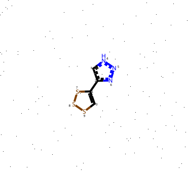 C1=C(c2c[nH]nn2)SSS1